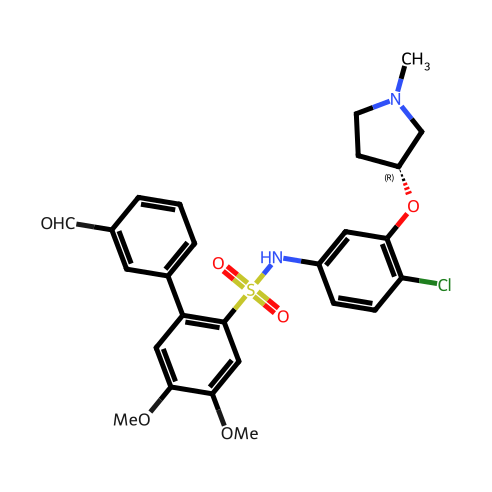 COc1cc(-c2cccc(C=O)c2)c(S(=O)(=O)Nc2ccc(Cl)c(O[C@@H]3CCN(C)C3)c2)cc1OC